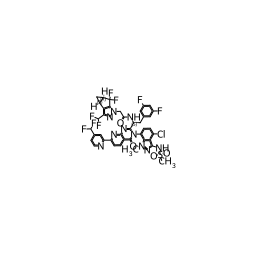 Cn1nc(NS(C)(=O)=O)c2c(Cl)ccc(-n3c([C@H](Cc4cc(F)cc(F)c4)NC(=O)Cn4nc(C(F)F)c5c4C(F)(F)[C@@H]4C[C@H]54)nc4nc(-c5cc(C(F)F)ccn5)ccc4c3=O)c21